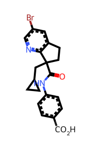 O=C(O)c1ccc(NC(=O)C2(CC3CC3)CCc3cc(Br)cnc32)cc1